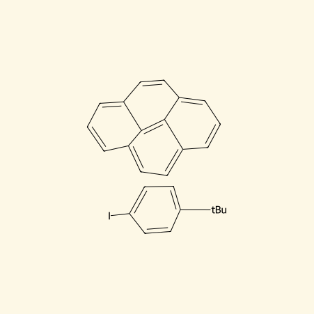 CC(C)(C)c1ccc(I)cc1.c1cc2ccc3cccc4ccc(c1)c2c34